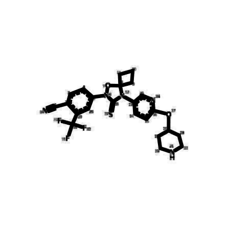 N#Cc1ccc(N2OC3(CCC3)N(c3ccc(OC4CCNCC4)nc3)C2=S)cc1C(F)(F)F